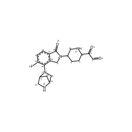 O=CC(=O)C1CCC(N2Cc3c(ccc(F)c3N3CC4CC3CN4)C2=O)CN1